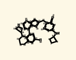 O=c1cc(NC2CCC2)cnn1Cc1cc2nccc(-c3cc(Cl)cc4c3N(C3CNC3)CCC4)c2s1